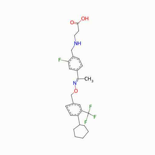 C/C(=N\OCc1ccc(C2CCCCC2)c(C(F)(F)F)c1)c1ccc(CNCCC(=O)O)c(F)c1